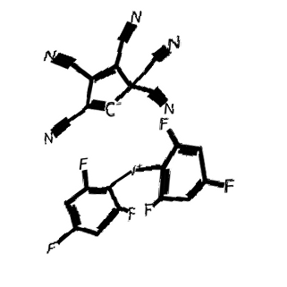 Fc1cc(F)c([I+]c2c(F)cc(F)cc2F)c(F)c1.N#CC1=[C-]C(C#N)(C#N)C(C#N)=C1C#N